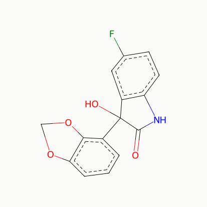 O=C1Nc2ccc(F)cc2C1(O)c1cccc2c1OCO2